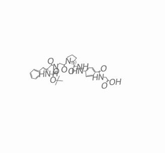 CC(C)(C)OC(=O)N[C@@H](Cc1ccccc1)C(=O)NCC(=O)N1CCC[C@H]1C(=O)NNc1ccc(C(=O)NCC(=O)O)cc1